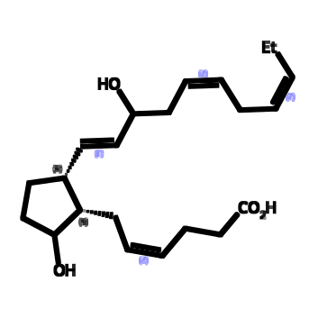 CC/C=C\C/C=C\CC(O)/C=C/[C@H]1CCC(O)[C@H]1C/C=C\CCC(=O)O